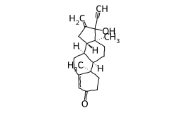 C#CC1(O)C(=C)C[C@H]2[C@@H]3CCC4=CC(=O)CC[C@]4(C)[C@@H]3CC[C@@]21C